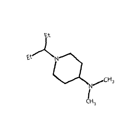 CCC(CC)N1CCC(N(C)C)CC1